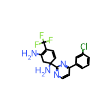 NC1=C(C(F)(F)F)C=CC(N)(c2nccc(-c3cccc(Cl)c3)n2)C1